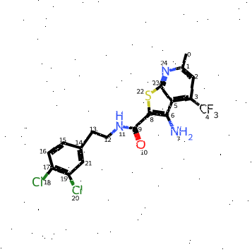 Cc1cc(C(F)(F)F)c2c(N)c(C(=O)NCCc3ccc(Cl)c(Cl)c3)sc2n1